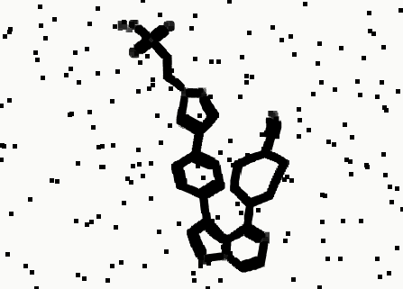 CS(=O)(=O)CCn1cc(-c2ccc(-c3cnn4ccnc(C5CCC(C#N)CC5)c34)cc2)cn1